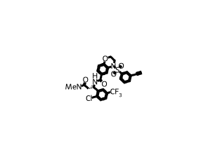 C#Cc1cccc(S(=O)(=O)N2CCOc3ccc(C(=O)N[C@@H](CC(=O)NC)c4cc(C(F)(F)F)ccc4Cl)cc32)c1